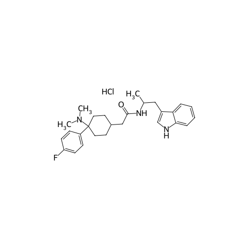 CC(Cc1c[nH]c2ccccc12)NC(=O)CC1CCC(c2ccc(F)cc2)(N(C)C)CC1.Cl